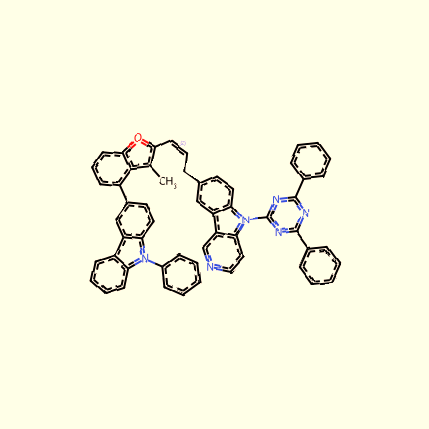 Cc1c(/C=C\Cc2ccc3c(c2)c2cnccc2n3-c2nc(-c3ccccc3)nc(-c3ccccc3)n2)oc2cccc(-c3ccc4c(c3)c3ccccc3n4-c3ccccc3)c12